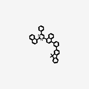 CC1(C)c2ccccc2-c2ccc(-c3cccc(-c4ccc(-c5cc(-c6ccccc6)nc(-c6cccc7ccccc67)n5)c5ccccc45)c3)cc21